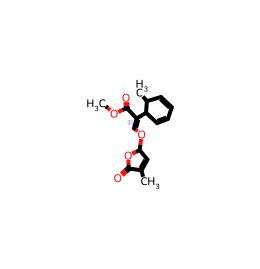 COC(=O)/C(=C/OC1C=C(C)C(=O)O1)C1C=CC=CC1C